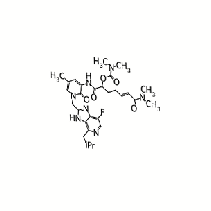 Cc1cc(NC(=O)C(CCC=CC(=O)N(C)C)OC(=O)N(C)C)c(=O)n(Cc2nc3c(F)cnc(CC(C)C)c3[nH]2)c1